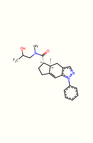 CCCN(CC(O)C(F)(F)F)C(=O)[C@H]1CCC2=Cc3c(cnn3-c3ccccc3)C[C@@]21C